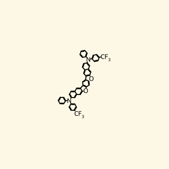 FC(F)(F)c1ccc(N(c2ccccc2)c2ccc3cc4c(cc3c2)oc2cc3oc5cc6cc(N(c7ccccc7)c7ccc(C(F)(F)F)cc7)ccc6cc5c3cc24)cc1